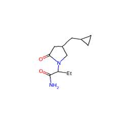 CCC(C(N)=O)N1CC(CC2CC2)CC1=O